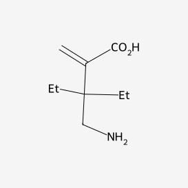 C=C(C(=O)O)C(CC)(CC)CN